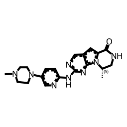 C[C@H]1CNC(=O)c2cc3cnc(Nc4ccc(N5CCN(C)CC5)cn4)nc3n21